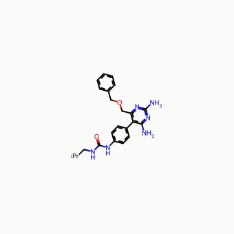 CC(C)CNC(=O)Nc1ccc(-c2c(N)nc(N)nc2COCc2ccccc2)cc1